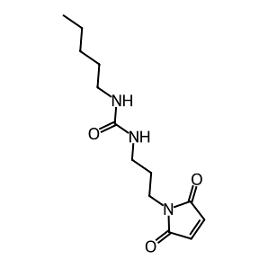 CCCCCNC(=O)NCCCN1C(=O)C=CC1=O